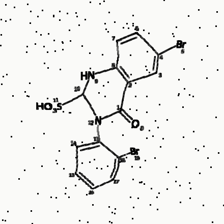 O=C1c2cc(Br)ccc2NC(S(=O)(=O)O)N1c1ccccc1Br